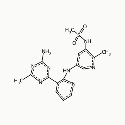 Cc1nc(N)nc(-c2cccnc2Nc2cnc(C)c(NS(C)(=O)=O)c2)n1